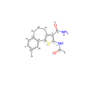 CC(=O)Nc1sc2c(c1C(N)=O)CCCc1ccc(C)cc1-2